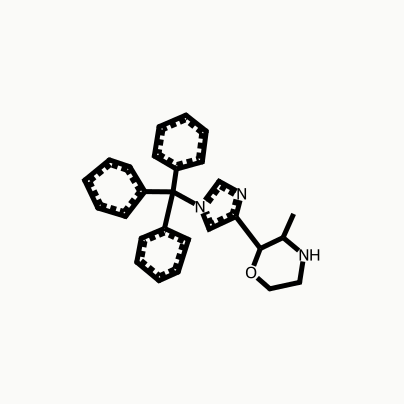 CC1NCCOC1c1cn(C(c2ccccc2)(c2ccccc2)c2ccccc2)cn1